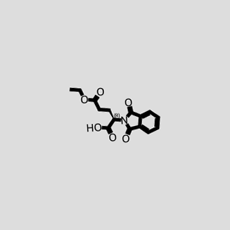 CCOC(=O)CC[C@H](C(=O)O)N1C(=O)c2ccccc2C1=O